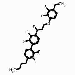 CCCCc1ccc(-c2ccc(C(F)CCOc3ccc(CC)c(F)c3F)c(F)c2F)c(F)c1F